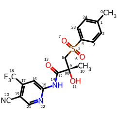 Cc1ccc(S(=O)(=O)C[C@](C)(O)C(=O)Nc2cc(C(F)(F)F)c(C#N)cn2)cc1